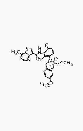 CCCS(=O)(=O)N(Cc1ccc(OC)cc1)c1ccc(F)c(NC(=O)c2csc3c(C)ncnc23)c1Cl